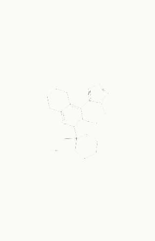 COCC1(c2nc3c(c(-c4ccnn4C)c2C#N)CCCC3)CCCCC1